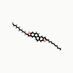 CCCCCCCCCCc1cc2cc3c(ccc4c5cc6cc(CCCCCCCCCC)oc6cc5ccc34)cc2o1